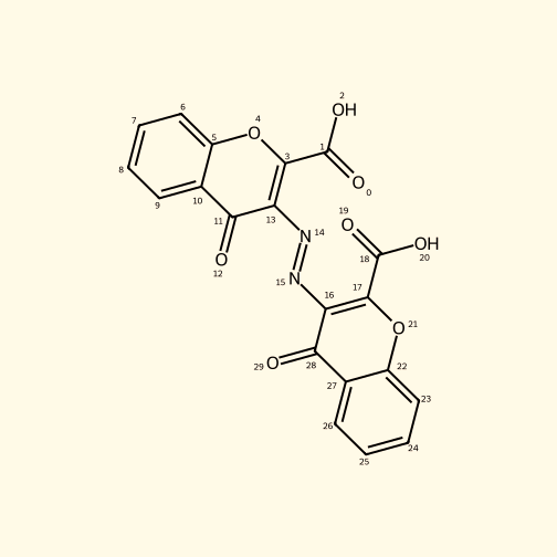 O=C(O)c1oc2ccccc2c(=O)c1N=Nc1c(C(=O)O)oc2ccccc2c1=O